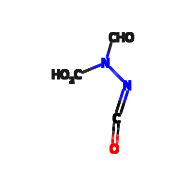 O=C=NN(C=O)C(=O)O